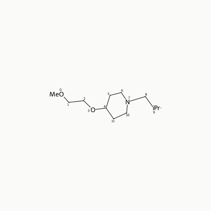 COCCOC1CCN(C[C](C)C)CC1